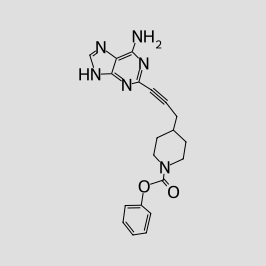 Nc1nc(C#CCC2CCN(C(=O)Oc3ccccc3)CC2)nc2[nH]cnc12